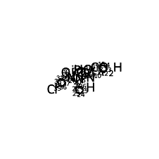 CC(C)C1C(=O)N(CC(=O)N[C@@H](Cc2ccccc2)C(O)C(=O)O)C(c2ccccc2)=CN1C(=O)c1ccc(Cl)cc1